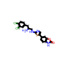 NC(CNc1ncc(-c2ccc3[nH]c(=O)oc3c2)s1)Cc1ccc(Cl)c(Cl)c1